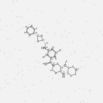 COC1COCC[C@@H]1NC1CCN(C(=O)c2nc(C)nc(NC[C@H]3C[C@@H](c4ccccc4)C3)c2C)CC1